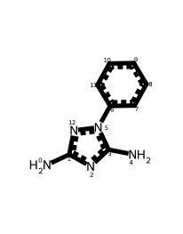 Nc1nc(N)n(-c2ccccc2)n1